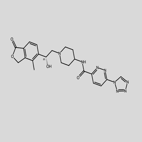 Cc1c([C@@H](O)CN2CCC(NC(=O)c3ccc(-n4cnnn4)nn3)CC2)ccc2c1COC2=O